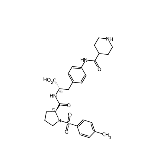 Cc1ccc(S(=O)(=O)N2CCC[C@H]2C(=O)N[C@@H](Cc2ccc(NC(=O)C3CCNCC3)cc2)C(=O)O)cc1